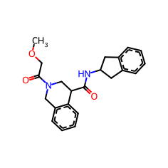 COCC(=O)N1Cc2ccccc2C(C(=O)NC2Cc3ccccc3C2)C1